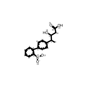 CC(c1ccc(-c2ccccc2[N+](=O)[O-])cc1)C(O)CC(=O)O